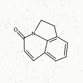 O=c1ccc2cccc3c2n1C[CH]3